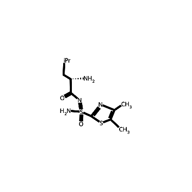 Cc1nc(S(N)(=O)=NC(=O)[C@@H](N)CC(C)C)sc1C